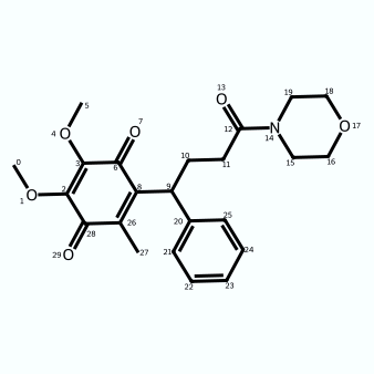 COC1=C(OC)C(=O)C(C(CCC(=O)N2CCOCC2)c2ccccc2)=C(C)C1=O